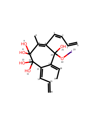 C=C/C=C\C1=C(C)C(O)(O)C(O)(O)C(=C/C=C)/C(=C\C)C1(O)OI